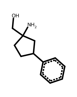 NC1(CO)CCC(c2ccccc2)C1